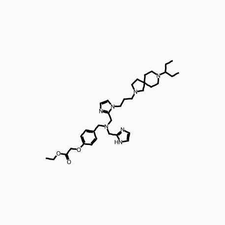 CCOC(=O)COc1ccc(CN(Cc2ncc[nH]2)Cc2nccn2CCCN2CCC3(CCN(C(CC)CC)CC3)C2)cc1